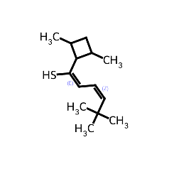 CC1CC(C)C1/C(S)=C\C=C/C(C)(C)C